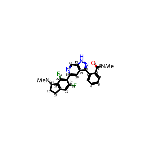 CNC(=O)c1ccccc1-c1n[nH]c2cnc(-c3c(F)cc4c(c3F)C(NC)CC4)cc12